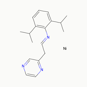 CC(C)c1cccc(C(C)C)c1N=CCc1cnccn1.[Ni]